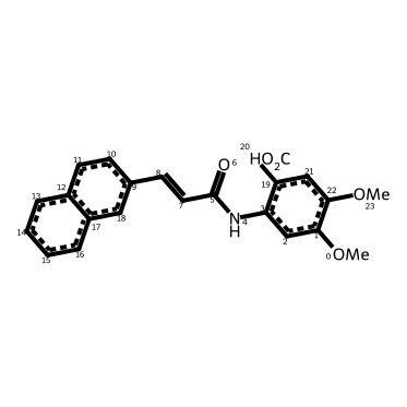 COc1cc(NC(=O)C=Cc2ccc3ccccc3c2)c(C(=O)O)cc1OC